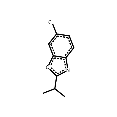 CC(C)c1nc2ccc(Cl)cc2o1